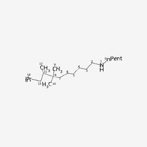 CCCCCNCCCCCCC(C)(C)C(C)CC(C)C